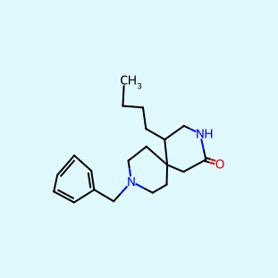 CCCCC1CNC(=O)CC12CCN(Cc1ccccc1)CC2